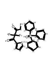 O=C(CF)C(F)(F)C(=O)c1cccs1.O=P(c1ccccc1)(c1ccccc1)c1ccccc1